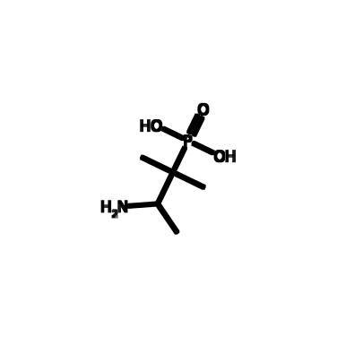 CC(N)C(C)(C)P(=O)(O)O